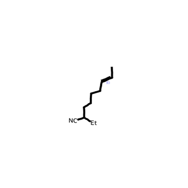 C/C=C/CCCCC(C#N)CC